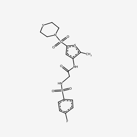 Cc1sc(S(=O)(=O)N2CCSCC2)cc1NC(=O)CNS(=O)(=O)c1ccc(F)cc1